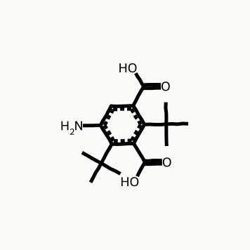 CC(C)(C)c1c(N)cc(C(=O)O)c(C(C)(C)C)c1C(=O)O